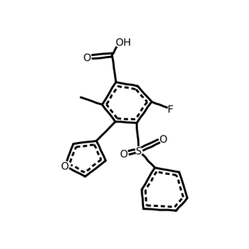 Cc1c(C(=O)O)cc(F)c(S(=O)(=O)c2ccccc2)c1-c1ccoc1